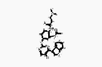 CC(=O)Nc1cc(Nc2ncc(Cl)c(-c3c[nH]c4ccccc34)n2)ccc1N(C)C(=O)CCN(C)C